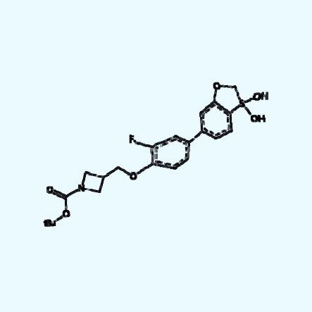 CC(C)(C)OC(=O)N1CC(COc2ccc(-c3ccc4c(c3)OCS4(O)O)cc2F)C1